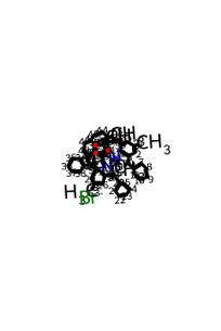 Cc1cc([C@H](C)c2ccccc2)c(-n2c[n+](-c3c([C@H](C)c4ccccc4)cc(C)cc3[C@H](C)c3ccccc3)c3c2-c2c(C)ccc4ccc(C)c-3c24)c([C@H](C)c2ccccc2)c1.[Br-]